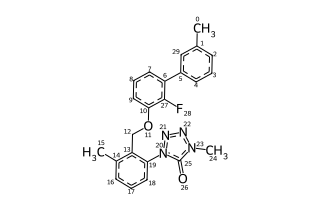 Cc1cccc(-c2cccc(OCc3c(C)cccc3-n3nnn(C)c3=O)c2F)c1